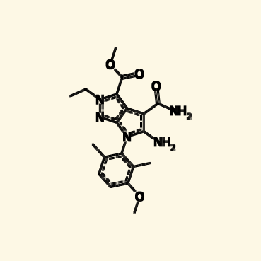 CCn1nc2c(c(C(N)=O)c(N)n2-c2c(C)ccc(OC)c2C)c1C(=O)OC